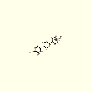 Fc1ccc([C@H]2CC[C@H](C3CC[SiH](Cl)CC3)CC2)cc1F